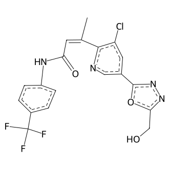 C/C(=C/C(=O)Nc1ccc(C(F)(F)F)cc1)c1ncc(-c2nnc(CO)o2)cc1Cl